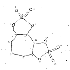 O=S1(=O)OC2CCCC3OS(=O)(=O)OC3C2O1